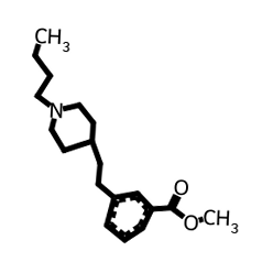 CCCCN1CCC(CCc2cccc(C(=O)OC)c2)CC1